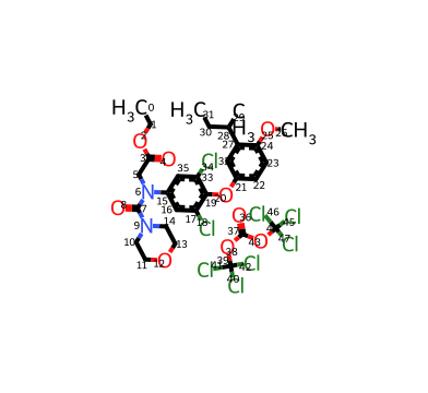 CCOC(=O)CN(C(=O)N1CCOCC1)c1cc(Cl)c(Oc2ccc(OC)c(C(C)CC)c2)c(Cl)c1.O=C(OC(Cl)(Cl)Cl)OC(Cl)(Cl)Cl